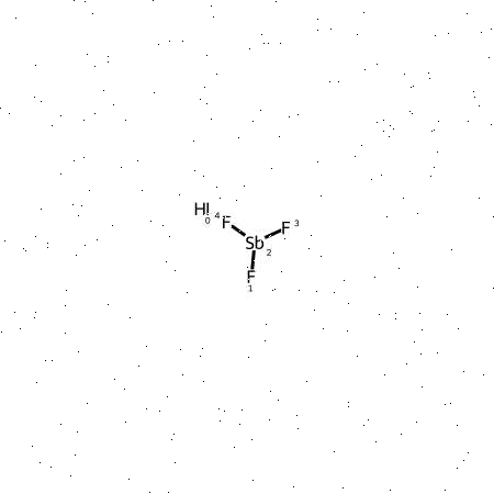 I.[F][Sb]([F])[F]